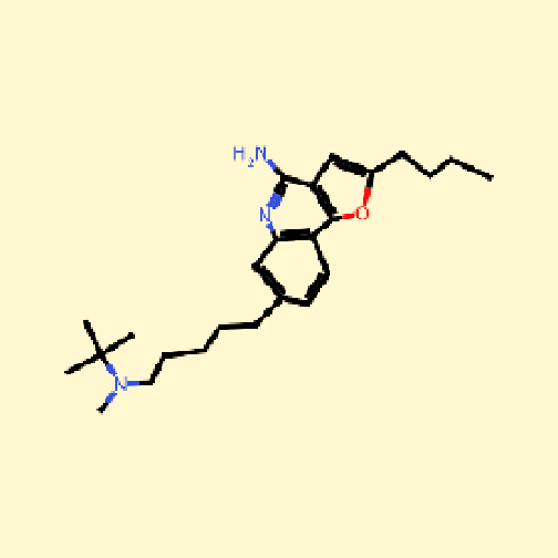 CCCCc1cc2c(N)nc3cc(CCCCCN(C)C(C)(C)C)ccc3c2o1